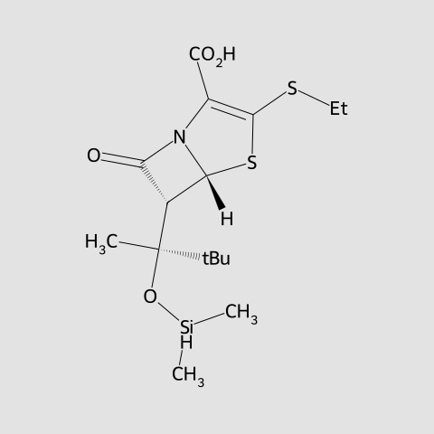 CCSC1=C(C(=O)O)N2C(=O)[C@@H]([C@](C)(O[SiH](C)C)C(C)(C)C)[C@H]2S1